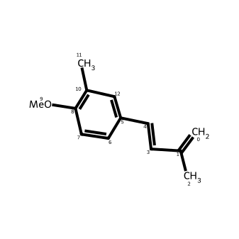 C=C(C)/C=C/c1ccc(OC)c(C)c1